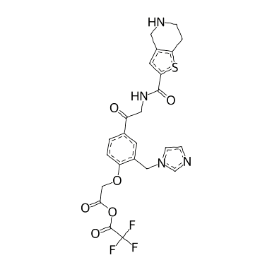 O=C(COc1ccc(C(=O)CNC(=O)c2cc3c(s2)CCNC3)cc1Cn1ccnc1)OC(=O)C(F)(F)F